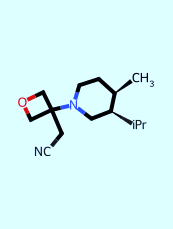 CC(C)[C@H]1CN(C2(CC#N)COC2)CC[C@H]1C